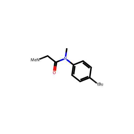 CNCC(=O)N(C)c1ccc(C(C)(C)C)cc1